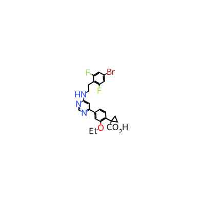 CCOc1cc(-c2cc(NCCc3c(F)cc(Br)cc3F)ncn2)ccc1C1(C(=O)O)CC1